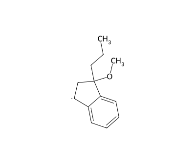 CCCC1(OC)C[CH]c2ccccc21